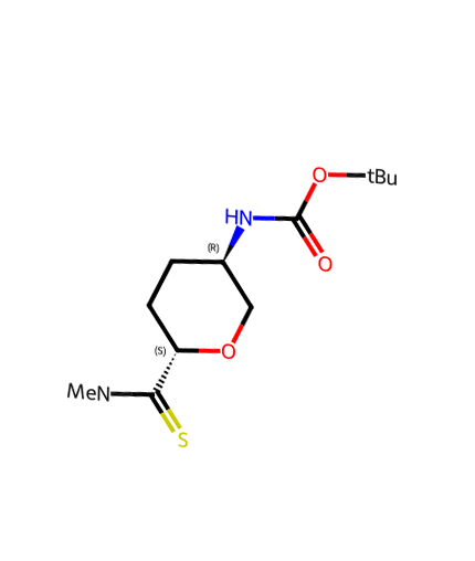 CNC(=S)[C@@H]1CC[C@@H](NC(=O)OC(C)(C)C)CO1